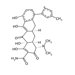 Cc1csc(-c2ccc(O)c3c2C[C@H]2C[C@H]4[C@H](N(C)C)C(=O)C(C(N)=O)=C(O)[C@@]4(O)C(=O)C2=C3O)c1